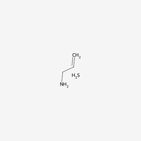 C=CCN.S